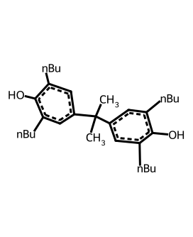 CCCCc1cc(C(C)(C)c2cc(CCCC)c(O)c(CCCC)c2)cc(CCCC)c1O